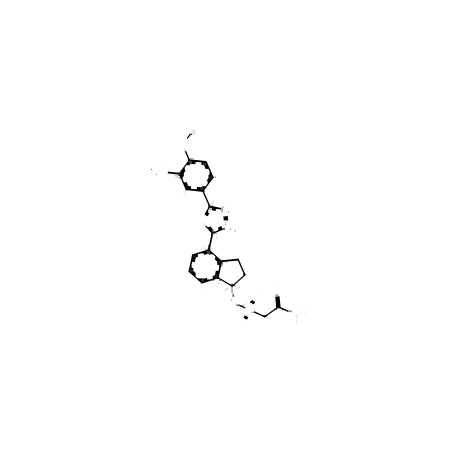 CC(C)Oc1ccc(-c2nnc(-c3cccc4c3CC[C@H]4NS(=O)(=O)CC(N)=O)s2)cc1C#N